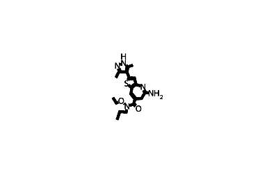 CCCN(OCC)C(=O)C1=Cc2sc(-c3c(C)n[nH]c3C)cc2N=C(N)C1